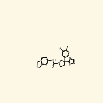 Cc1ccc([C@@]2(c3ncns3)CCN(C(=O)Nc3ccc4c(c3)CCC4)C2)cc1F